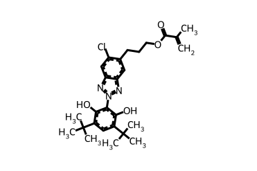 C=C(C)C(=O)OCCCc1cc2nn(-c3c(O)c(C(C)(C)C)cc(C(C)(C)C)c3O)nc2cc1Cl